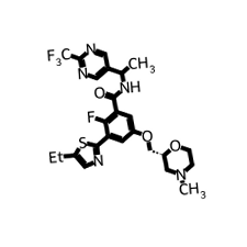 CCc1cnc(-c2cc(OC[C@H]3CN(C)CCO3)cc(C(=O)NC(C)c3cnc(C(F)(F)F)nc3)c2F)s1